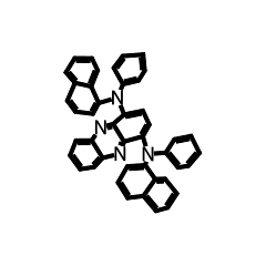 c1ccc(N(c2cccc3ccccc23)c2ccc(N(c3ccccc3)c3cccc4ccccc34)c3nc4ccccc4nc23)cc1